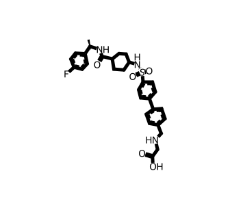 C[C@@H](NC(=O)C1CCC(NS(=O)(=O)c2ccc(-c3ccc(CNCC(=O)O)cc3)cc2)CC1)c1ccc(F)cc1